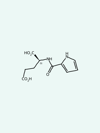 O=C(O)CC[C@H](NC(=O)c1ccc[nH]1)C(=O)O